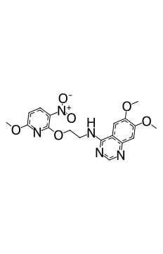 COc1ccc([N+](=O)[O-])c(OCCNc2ncnc3cc(OC)c(OC)cc23)n1